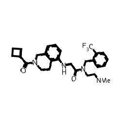 CNCCN(Cc1ccccc1C(F)(F)F)C(=O)CNc1cccc2c1CCN(C(=O)C1CCC1)C2